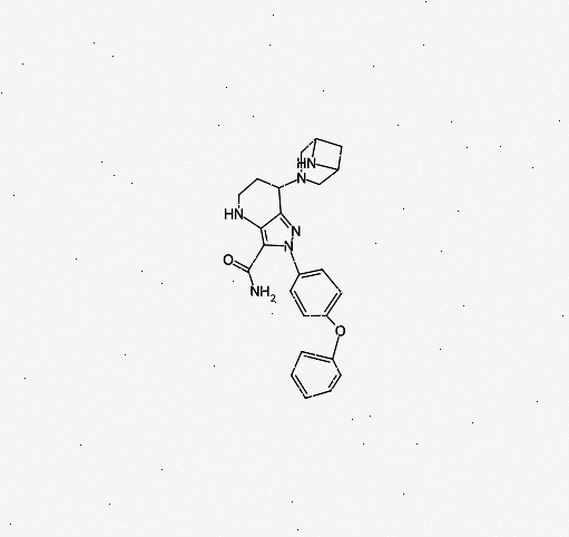 NC(=O)c1c2c(nn1-c1ccc(Oc3ccccc3)cc1)C(N1CC3CC(C1)N3)CCN2